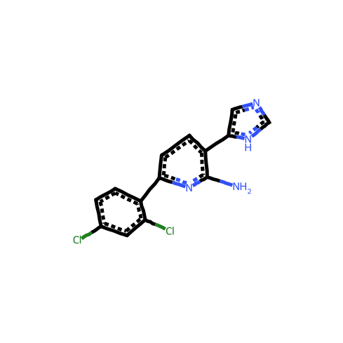 Nc1nc(-c2ccc(Cl)cc2Cl)ccc1-c1cnc[nH]1